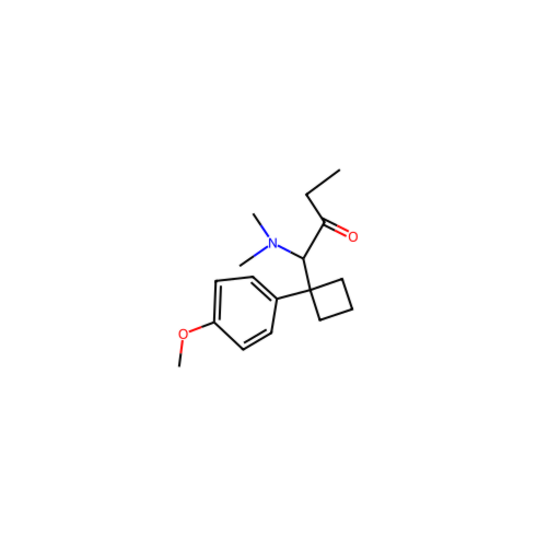 CCC(=O)C(N(C)C)C1(c2ccc(OC)cc2)CCC1